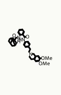 COc1cc2c(cc1OC)CN(CCc1ccc(NC(=O)c3ccccc3NC(=O)C34CC5CC(CC(C5)C3)C4)cc1)CC2